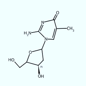 Cc1cn(C2C[C@@H](O)C(CO)O2)c(N)nc1=O